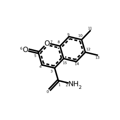 C=C(N)c1cc(=O)oc2cc(C)c(C)cc12